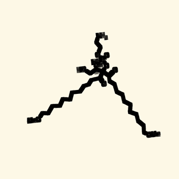 COCCCCCCCCCCCC(=O)C(OP(=O)(O)OCCN)(C(=O)CCCCCCCCCCCOC)[C@@H](O)CO